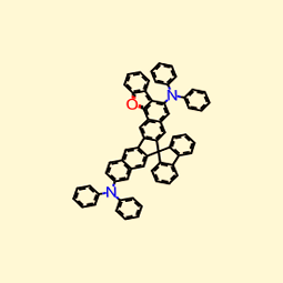 c1ccc(N(c2ccccc2)c2ccc3cc4c(cc3c2)C2(c3ccccc3-c3ccccc32)c2cc3cc(N(c5ccccc5)c5ccccc5)c5c6ccccc6oc5c3cc2-4)cc1